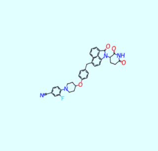 N#Cc1ccc(N2CCC(Oc3ccc(Cc4ccc5c6c(cccc46)C(=O)N5C4CCC(=O)NC4=O)cc3)CC2)c(F)c1